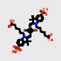 CC1(C)C(=Cc2c([S-])[c+](C=C3N(CCCCCC(=O)O)c4ccc(S(=O)(=O)O)cc4C3(C)C)[c+]2[S-])N(CCCCCC(=O)O)c2ccc(S(=O)(=O)O)cc21